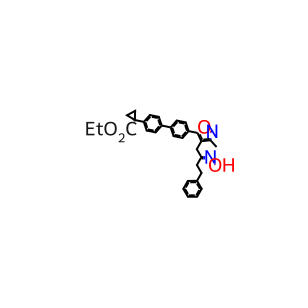 CCOC(=O)C1(c2ccc(-c3ccc(-c4onc(C)c4CC(CCc4ccccc4)=NO)cc3)cc2)CC1